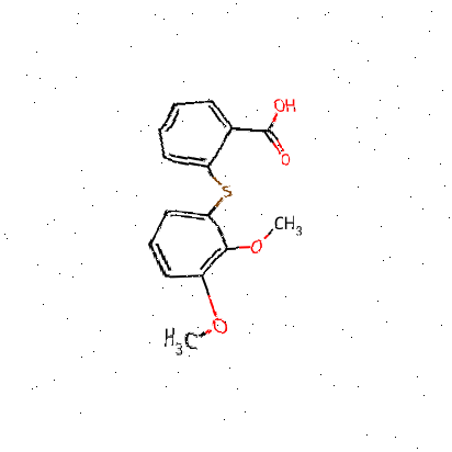 COc1cccc(Sc2ccccc2C(=O)O)c1OC